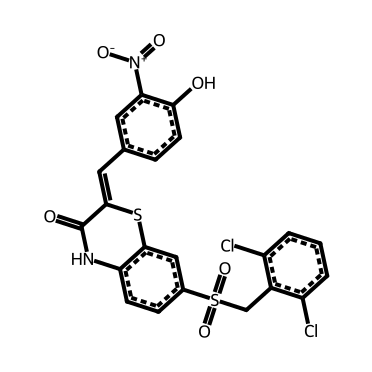 O=C1Nc2ccc(S(=O)(=O)Cc3c(Cl)cccc3Cl)cc2S/C1=C\c1ccc(O)c([N+](=O)[O-])c1